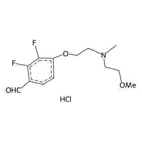 COCCN(C)CCOc1ccc(C=O)c(F)c1F.Cl